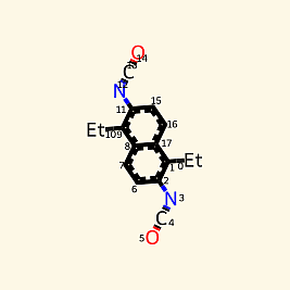 CCc1c(N=C=O)ccc2c(CC)c(N=C=O)ccc12